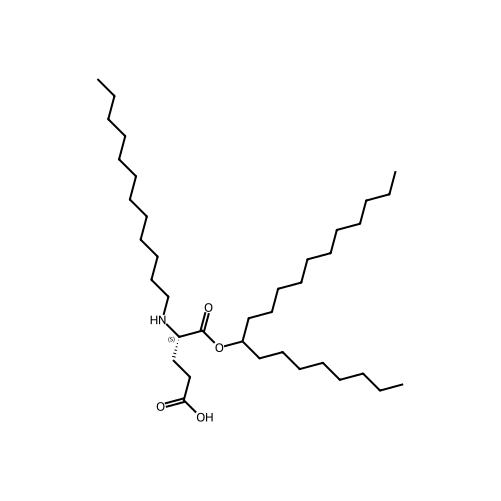 CCCCCCCCCCCCN[C@@H](CCC(=O)O)C(=O)OC(CCCCCCCC)CCCCCCCCCCC